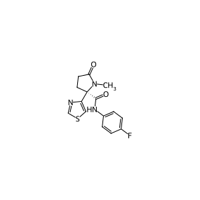 CN1C(=O)CC[C@]1(C(=O)Nc1ccc(F)cc1)c1cscn1